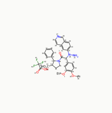 CCOc1cc(C(C(=O)N2CCC(C(=O)O)C2c2ccccc2)N(N)c2ccc3cnccc3c2)ccc1OC(C)C.O=C(O)C(F)(F)F